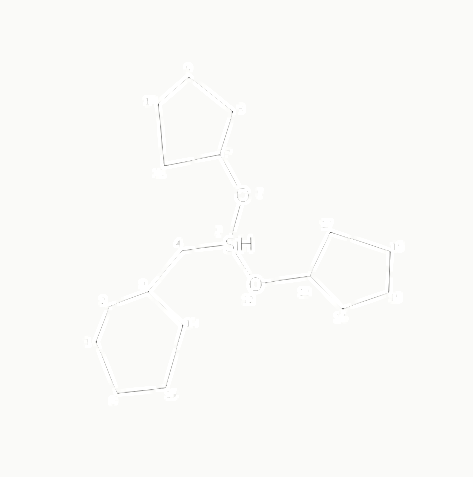 C1CCC(C[SiH](OC2CCCC2)OC2CCCC2)CC1